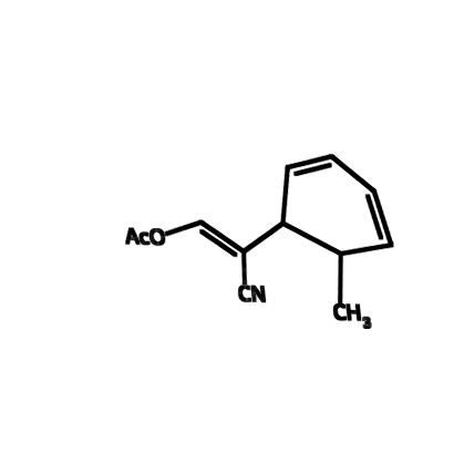 CC(=O)O/C=C(\C#N)C1C=CC=CC1C